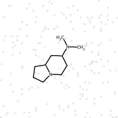 CN(C)C1CCN2CCCC2C1